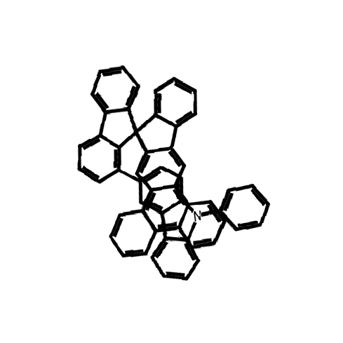 c1ccc(-n2c3ccccc3c3cc(-c4cccc5c4C4(c6ccccc6-c6cc7c8ccccc8c8ccccc8c7cc64)c4ccccc4-5)ccc32)cc1